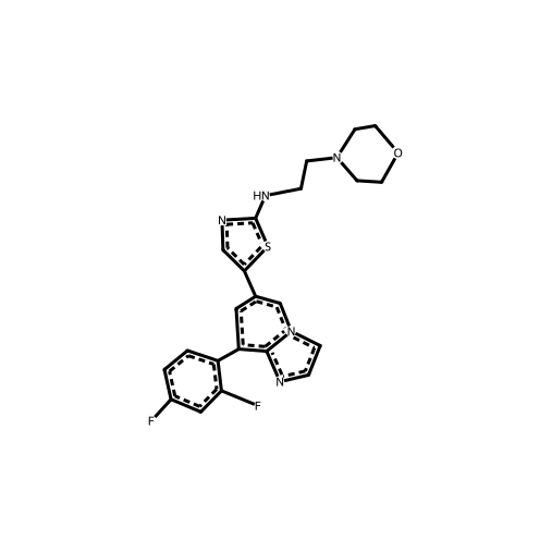 Fc1ccc(-c2cc(-c3cnc(NCCN4CCOCC4)s3)cn3ccnc23)c(F)c1